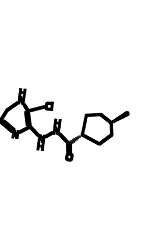 C[C@H]1CC[C@H](C(=O)NNC2=C(Cl)NCC=N2)CC1